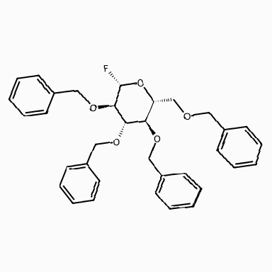 F[C@@H]1O[C@H](COCc2ccccc2)[C@@H](OCc2ccccc2)[C@H](OCc2ccccc2)[C@H]1OCc1ccccc1